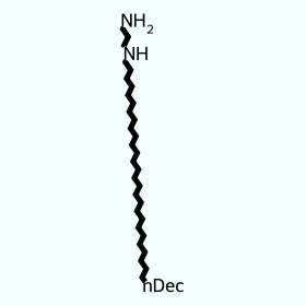 CCCCCCCCCCCCCCCCCCCCCCCCCCCCCCCCCCCCCNCCCN